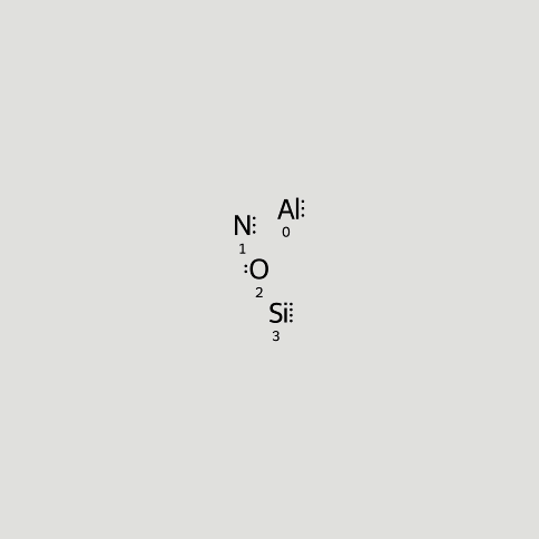 [Al].[N].[O].[Si]